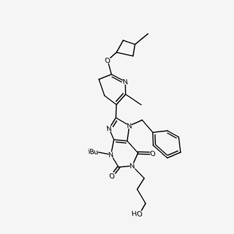 CCC(C)n1c(=O)n(CCCO)c(=O)c2c1nc(C1=C(C)N=C(OC3CC(C)C3)CC1)n2CC1=C=C=CC=C1